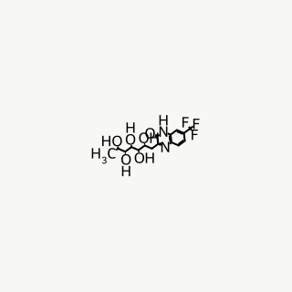 CC(O)[C@@H](O)[C@@H](O)[C@H](O)[C@H](O)Cc1nc2ccc(C(F)(F)F)cc2[nH]c1=O